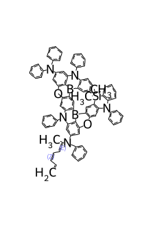 C=C/C=C\C=C(/C)N(c1ccccc1)c1cc2c3c(c1)N(c1ccccc1)c1cc4c(cc1B3c1cc3c(cc1O2)N(c1ccccc1)c1ccccc1[Si]3(C)C)B1c2ccccc2N(c2ccccc2)c2cc(N(c3ccccc3)c3ccccc3)cc(c21)O4